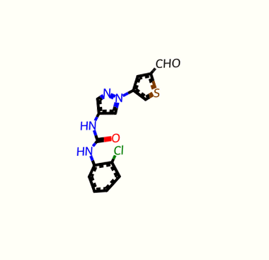 O=Cc1cc(-n2cc(NC(=O)Nc3ccccc3Cl)cn2)cs1